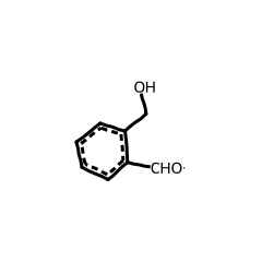 O=[C]c1ccccc1CO